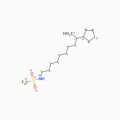 O=C(O)C(CCCCCCCCNS(=O)(=O)C(F)(F)F)C1CCCC1